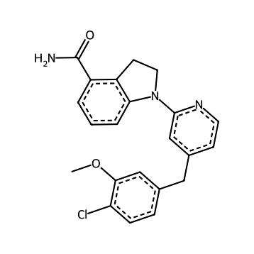 COc1cc(Cc2ccnc(N3CCc4c(C(N)=O)cccc43)c2)ccc1Cl